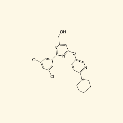 OCc1cc(Oc2ccc(N3CCCCC3)nc2)nc(-c2cc(Cl)cc(Cl)c2)n1